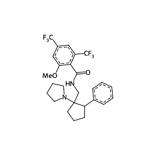 COc1cc(C(F)(F)F)cc(C(F)(F)F)c1C(=O)NCC1(N2CCCC2)CCCC1c1ccccc1